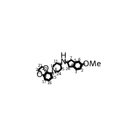 COc1ccc2c(c1)CC(NC1CCN(c3cccc4c3OCCO4)CC1)C2